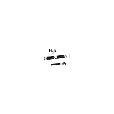 CCCC.N=C=O.S